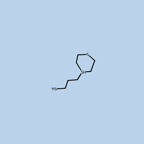 SCCC[SH]1CCSCC1